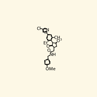 CCc1cc(-n2cc(Cl)cn2)cc(C)c1C1C(=O)CC(CC(=O)NCc2ccc(OC)cc2)C1=O